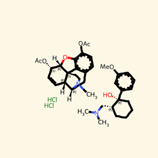 CC(=O)Oc1ccc2c3c1O[C@H]1[C@@H](OC(C)=O)C=C[C@H]4[C@@H](C2)N(C)CC[C@@]341.COc1cccc([C@@]2(O)CCCC[C@@H]2CN(C)C)c1.Cl.Cl